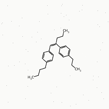 CCCCc1ccc(C=C(CCC)c2ccc(CCC)cc2)cc1